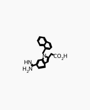 N=C(N)c1ccc2cc(CC(=O)O)n(Cc3cccc4ccccc34)c2c1